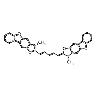 CN1/C(=C/C=C/C=C/c2oc3cc4c(cc3[n+]2C)oc2ccccc24)Oc2cc3c(cc21)oc1ccccc13